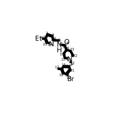 CCc1ccc(CNC(=O)C2CCN(Sc3cc(C)cc(Br)c3)CC2)nc1